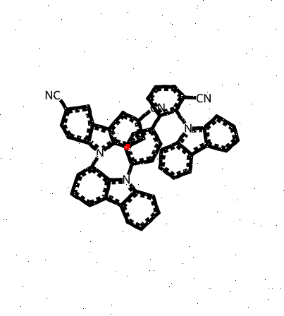 N#Cc1ccc2c(c1)c1cc(C#N)ccc1n2-c1cccc2c3ccccc3n(-c3ccc(-c4cccc(C#N)c4-n4c5ccccc5c5ccccc54)cc3)c12